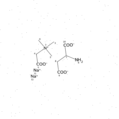 C[N+](C)(C)CC(=O)[O-].NC(CC(=O)[O-])C(=O)[O-].[Na+].[Na+]